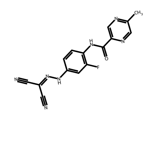 Cc1cnc(C(=O)Nc2ccc(NN=C(C#N)C#N)cc2F)cn1